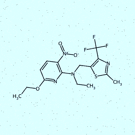 CCOc1ccc([N+](=O)[O-])c(N(CC)Cc2sc(C)nc2C(F)(F)F)n1